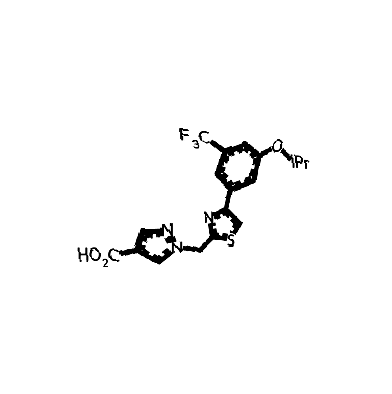 CC(C)Oc1cc(-c2csc(Cn3cc(C(=O)O)cn3)n2)cc(C(F)(F)F)c1